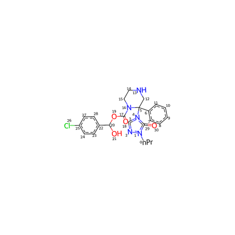 CCCn1ncn(C2(c3ccccc3)CNCCN2C(=O)OC(O)c2ccc(Cl)cc2)c1=O